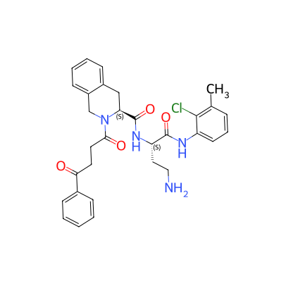 Cc1cccc(NC(=O)[C@H](CCN)NC(=O)[C@@H]2Cc3ccccc3CN2C(=O)CCC(=O)c2ccccc2)c1Cl